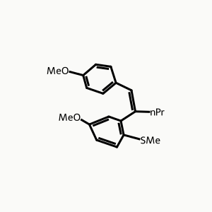 CCCC(=Cc1ccc(OC)cc1)c1cc(OC)ccc1SC